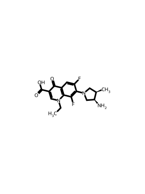 CCn1cc(C(=O)O)c(=O)c2cc(F)c(N3C[C@@H](C)[C@@H](N)C3)c(F)c21